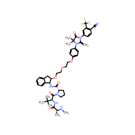 C=C1N(c2ccc(C#N)c(C(F)(F)F)c2)C(=O)C(C)(C)N1c1ccc(OCCOCCO[C@@H]2Cc3ccccc3[C@@H]2NC(=O)[C@@H]2CCCN2C(=O)[C@@H](NC(=O)[C@H](C)NC)C(C)(C)C)cc1